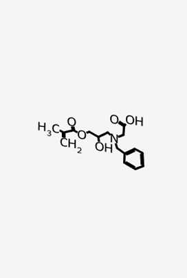 C=C(C)C(=O)OCC(O)CN(CC(=O)O)Cc1ccccc1